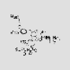 COCCCOc1cc(C[C@H](C[C@H]2[C@H](C[C@H](C(=O)NCC(C)(C)C(N)=O)C(C)C)OC(COC(=O)C3(NC(=O)OC(C)(C)C)CC3)N2C(=O)O)C(C)C)ccc1OC